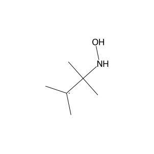 C[C](C)C(C)(C)NO